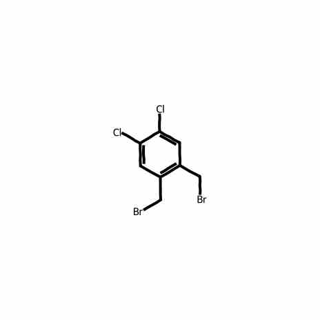 Clc1cc(CBr)c(CBr)cc1Cl